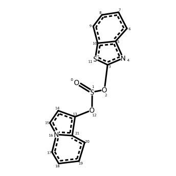 O=S(Oc1nc2ccccc2s1)Oc1ccn2ccccc12